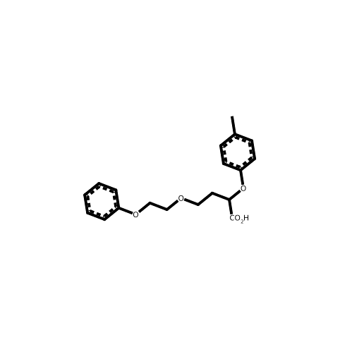 Cc1ccc(OC(CCOCCOc2ccccc2)C(=O)O)cc1